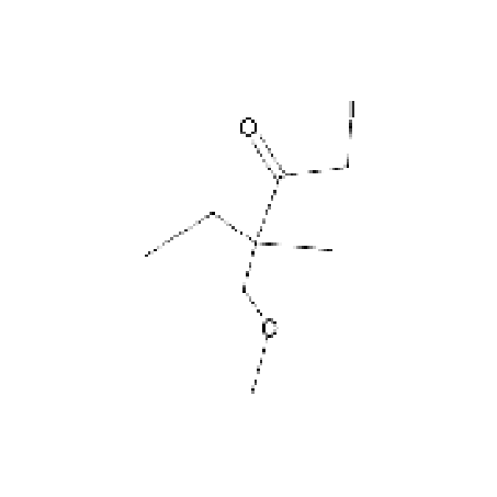 CCC(C)(COC)C(=O)CI